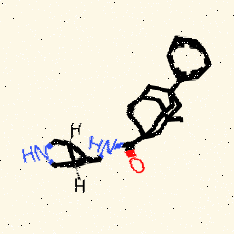 CC12CC3CC(C(=O)NCC4[C@H]5CNC[C@@H]45)(C1)CC(c1ccccc1)(C3)C2